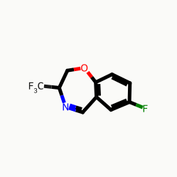 Fc1ccc2c(c1)C=NC(C(F)(F)F)CO2